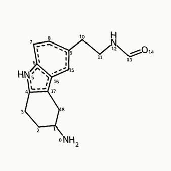 NC1CCc2[nH]c3ccc(CCNC=O)cc3c2C1